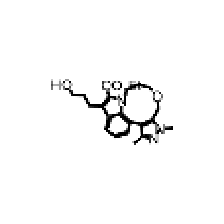 CCOC(=O)c1c(CCCO)c2cccc3c2n1CCCOCc1c-3c(C)nn1C